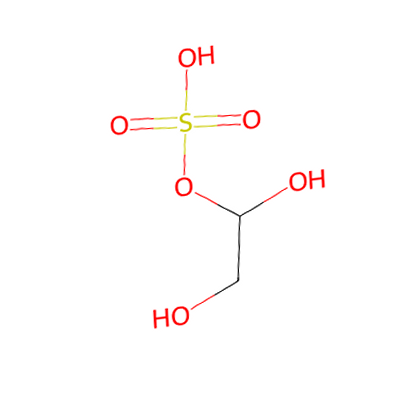 O=S(=O)(O)OC(O)CO